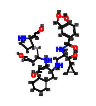 O=C=CC(C[C@@H]1CCNC1=C=O)NC(=C=O)C(CC1CCCCC1)NCC(NC(=O)c1ccc2c(c1)COO2)C(=O)C1CC1